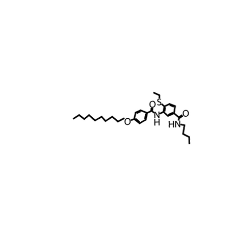 CCCCCCCCCCOc1ccc(C(=O)Nc2cc(C(=O)NCCCC)ccc2SCC)cc1